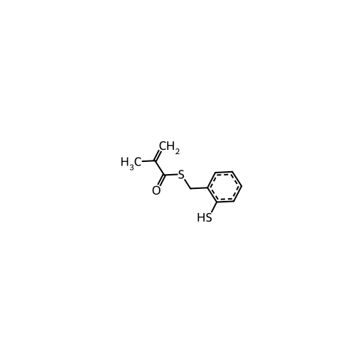 C=C(C)C(=O)SCc1ccccc1S